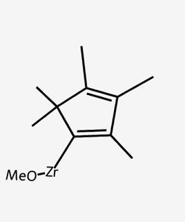 C[O][Zr][C]1=C(C)C(C)=C(C)C1(C)C